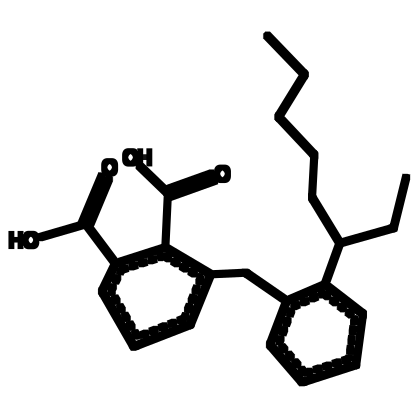 CCCCCC(CC)c1ccccc1Cc1cccc(C(=O)O)c1C(=O)O